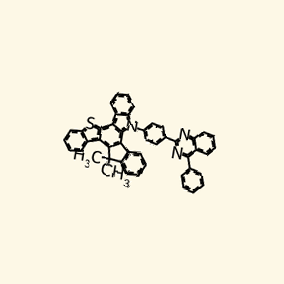 CC1(C)c2ccccc2-c2c1c1c3ccccc3sc1c1c3ccccc3n(-c3ccc(-c4nc(-c5ccccc5)c5ccccc5n4)cc3)c21